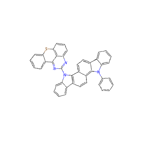 c1ccc(-n2c3ccccc3c3ccc4c(ccc5c6ccccc6n(-c6nc7c8c(cccc8n6)Sc6ccccc6-7)c54)c32)cc1